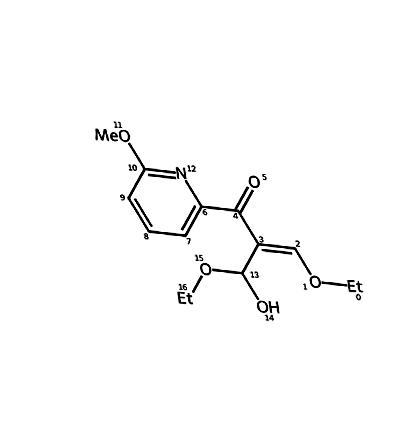 CCO/C=C(/C(=O)c1cccc(OC)n1)C(O)OCC